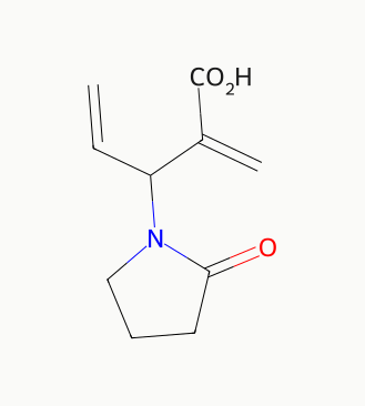 C=CC(C(=C)C(=O)O)N1CCCC1=O